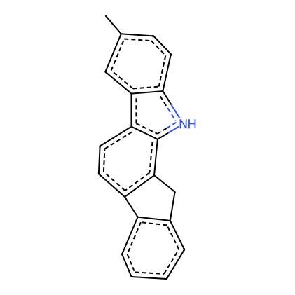 Cc1ccc2[nH]c3c4c(ccc3c2c1)-c1ccccc1C4